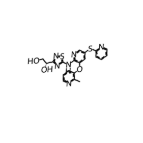 Cc1ncccc1Oc1cc(Sc2ccccn2)cnc1Nc1nc([C@H](O)CO)ns1